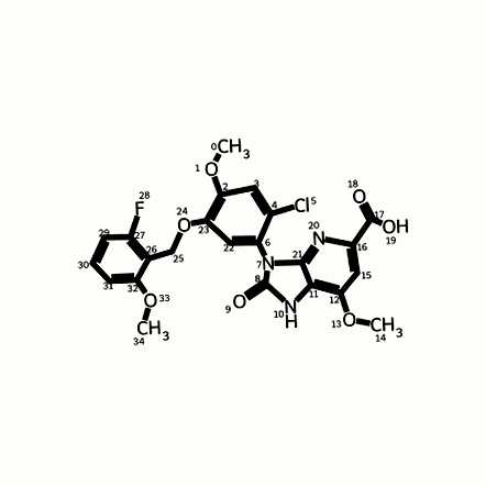 COc1cc(Cl)c(-n2c(=O)[nH]c3c(OC)cc(C(=O)O)nc32)cc1OCc1c(F)cccc1OC